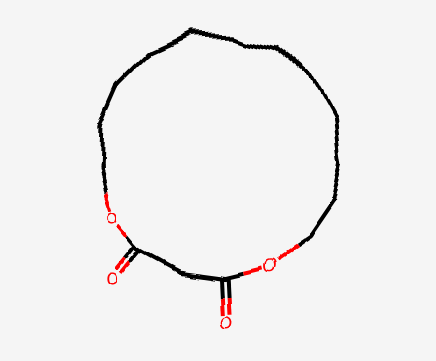 O=C1CC(=O)OCCCCCCCCCCCCO1